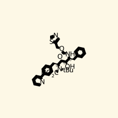 CC(C)(C)N(C(=O)O)[C@@H](Cc1ccc(-c2ccccn2)cc1)C[C@H](O)[C@H](Cc1ccccc1)NC(=O)OCc1cncs1